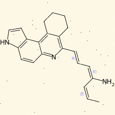 C\C=C/C(N)=C\C=C\c1nc2ccc3[nH]ccc3c2c2c1CCCC2